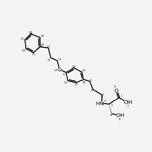 O=C(O)[C@H](CO)NCCCc1ccc(OCCCc2ccccc2)cc1